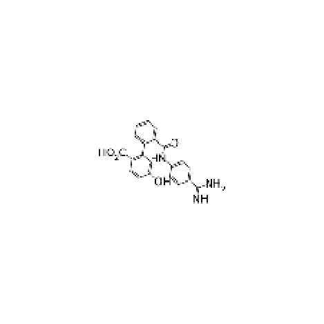 N=C(N)c1ccc(NC(=O)c2ccccc2-c2cc(O)ccc2C(=O)O)cc1